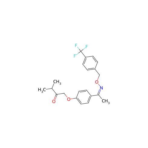 CC(=NOCc1ccc(C(F)(F)F)cc1)c1ccc(OCC(=O)C(C)C)cc1